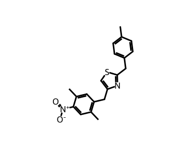 Cc1ccc(Cc2nc(Cc3cc(C)c([N+](=O)[O-])cc3C)cs2)cc1